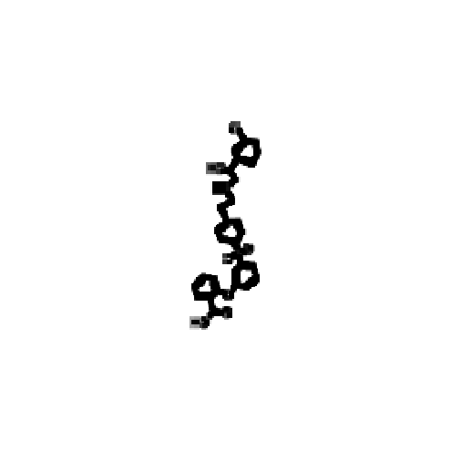 O=C(O)c1ccccc1Oc1cccc(S(=O)(=O)c2ccc(CCNCC(O)c3cccc(Cl)c3)cc2)c1